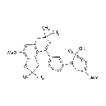 COC(=O)CN(c1cccc(C2=NC(C)(C)Cc3cc(OC)c4c(c32)CC(C)(C)O4)c1)S(C)(=O)=O